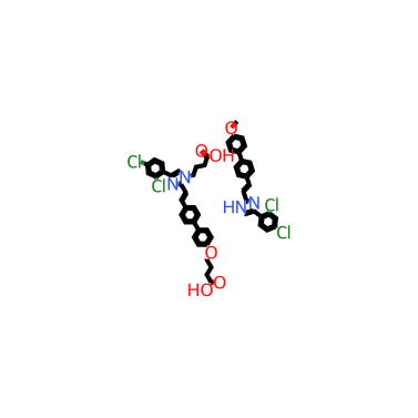 COc1ccc(-c2ccc(C=Cc3nc(-c4ccc(Cl)cc4Cl)c[nH]3)cc2)cc1.O=C(O)CCCOc1ccc(-c2ccc(C=Cc3nc(-c4ccc(Cl)cc4Cl)cn3CCCC(=O)O)cc2)cc1